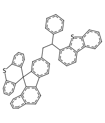 c1ccc(C(Cc2ccc3c(c2)C2(c4ccccc4Sc4ccccc42)c2c-3ccc3ccccc23)c2cccc3c2sc2ccccc23)cc1